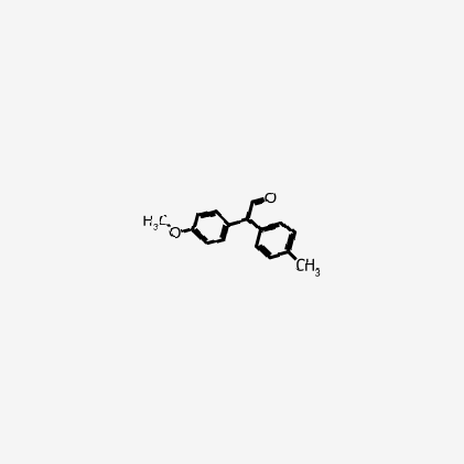 COc1ccc(C(C=O)c2ccc(C)cc2)cc1